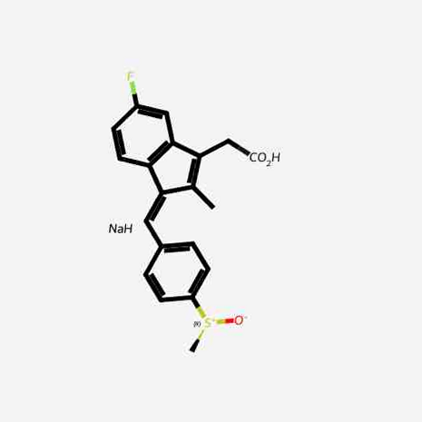 CC1=C(CC(=O)O)c2cc(F)ccc2C1=Cc1ccc([S@+](C)[O-])cc1.[NaH]